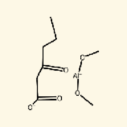 CCCC(=O)CC(=O)[O-].C[O][Al+][O]C